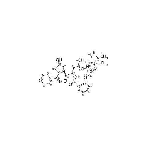 CC(C)C[C@@H](NC(=O)c1ccccc1OCc1ncc(C(C)(C)C)o1)C(=O)N1C[C@@H](O)C[C@@H]1C(=O)N1CCOCC1